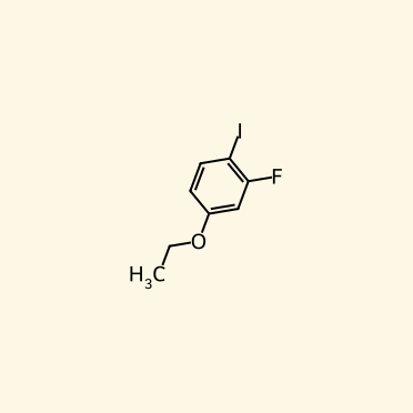 CCOc1ccc(I)c(F)c1